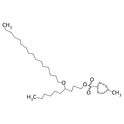 CCCCCCCCCCCCCCCCOC(CCCCCC)CCCOS(=O)(=O)c1ccc(C)cc1